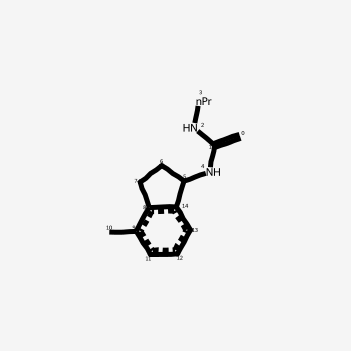 C=C(NCCC)NC1CCc2c(C)cccc21